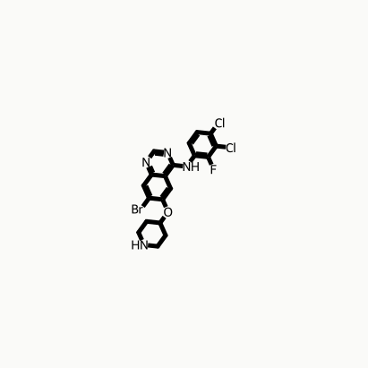 Fc1c(Nc2ncnc3cc(Br)c(OC4CCNCC4)cc23)ccc(Cl)c1Cl